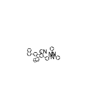 N#Cc1cc(-c2cccc(-c3nc(-c4ccccc4)nc(-c4ccccc4)n3)c2)cc2c1-c1ccc(-c3cccc4ccccc34)cc1C21C2CC3CC(C2)CC1C3